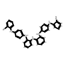 Fc1ccccc1Oc1ccc(Oc2ccccc2Oc2ccccc2Oc2ccc(Oc3ccccc3F)cc2)cc1